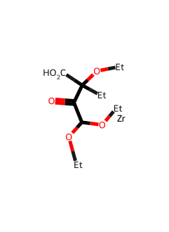 CCOC(OCC)C(=O)C(CC)(OCC)C(=O)O.[Zr]